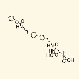 O=C(O)NCCCC[C@H](NC(=O)O)C(=O)NCCCc1ccc(-c2ccc(CCCCNC(=O)OCc3ccccc3)cc2)cc1